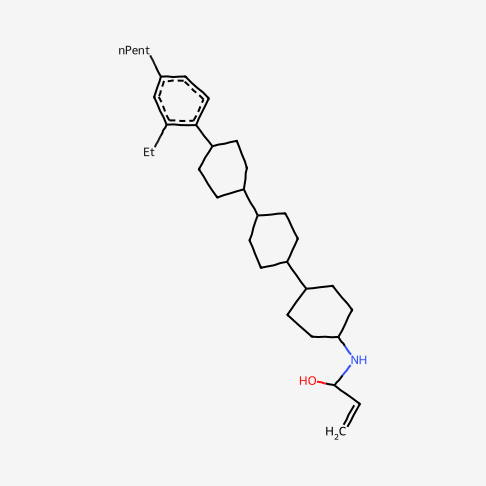 C=CC(O)NC1CCC(C2CCC(C3CCC(c4ccc(CCCCC)cc4CC)CC3)CC2)CC1